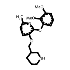 COc1cccc(Oc2nc(C)ccc2OCC2CCCNC2)c1OC